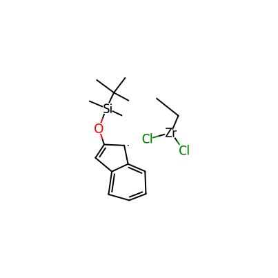 CC(C)(C)[Si](C)(C)OC1=Cc2ccccc2[CH]1.C[CH2][Zr]([Cl])[Cl]